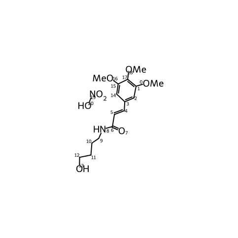 COc1cc(C=CC(=O)NCCCCO)cc(OC)c1OC.O=[N+]([O-])O